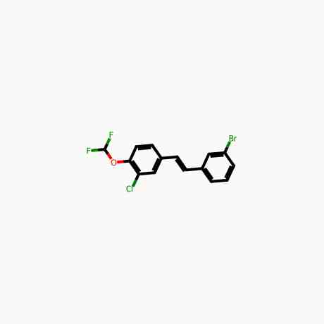 FC(F)Oc1ccc(C=Cc2cccc(Br)c2)cc1Cl